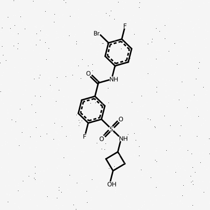 O=C(Nc1ccc(F)c(Br)c1)c1ccc(F)c(S(=O)(=O)NC2CC(O)C2)c1